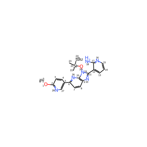 CC(C)Oc1ccc(-c2ccc3nc(-c4cccnc4N)n(O[Si](C)(C)C(C)(C)C)c3n2)cn1